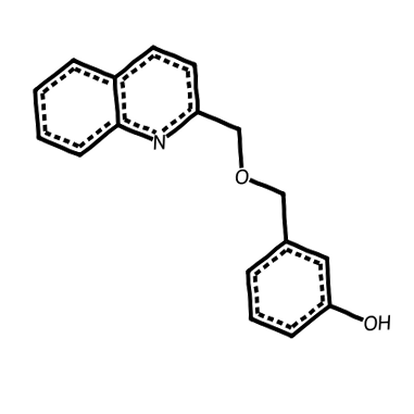 Oc1cccc(COCc2ccc3ccccc3n2)c1